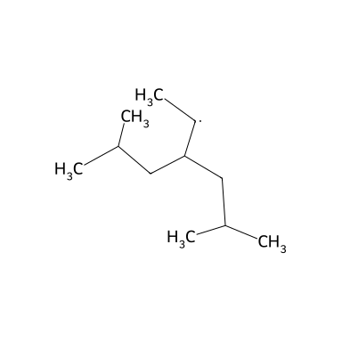 C[CH]C(CC(C)C)CC(C)C